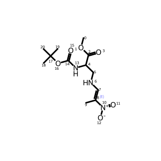 COC(=O)C(CN/C=C(\C)[N+](=O)[O-])NC(=O)OC(C)(C)C